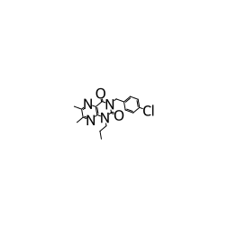 CCCn1c(=O)n(Cc2ccc(Cl)cc2)c(=O)c2nc(C)c(C)nc21